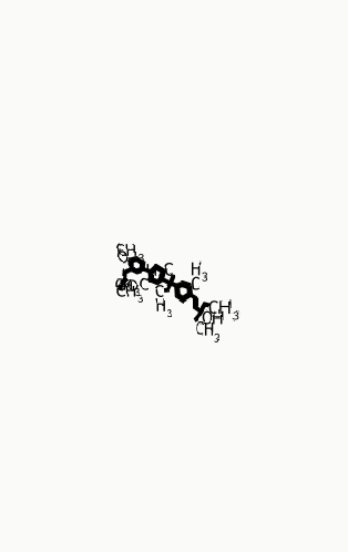 CCC(O)(C=Cc1ccc(C(CC)(CC)c2ccc(-c3ccc(OC)c(CC(=O)OC)c3)c(C)c2)cc1C)CC